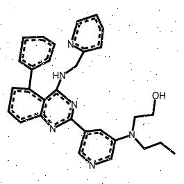 CCCN(CCO)c1cncc(-c2nc(NCc3ccccn3)c3c(-c4ccccc4)cccc3n2)c1